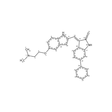 CN(C)CCOc1ccc2[nH]c(/C=C3/C(=O)Nc4cc(-c5ccccc5)ccc43)cc2c1